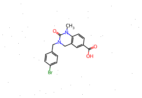 CN1C(=O)N(Cc2ccc(Br)cc2)Cc2cc(C(=O)O)ccc21